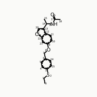 CCSc1ccc(COc2ccc3c(C(C)NC(C)=O)coc3c2)cc1